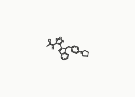 CC(=O)Nc1nonc1C1=Cc2ccccc2C1Cc1ccc(N2CCCC2)cc1